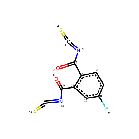 O=C(N=C=S)c1ccc(F)cc1C(=O)N=C=S